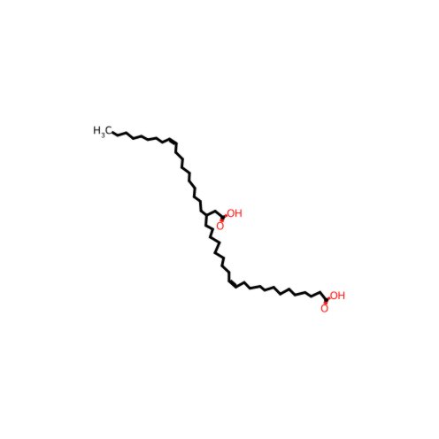 CCCCCCCC/C=C\CCCCCCCCCC(CCCCCCCC/C=C\CCCCCCCCCCCC(=O)O)CC(=O)O